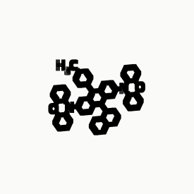 Cc1ccc(-c2c3cc(N4c5ccccc5Oc5ccccc54)ccc3c(-c3cccc4ccccc34)c3cc(N4c5ccccc5Oc5ccccc54)ccc23)cc1